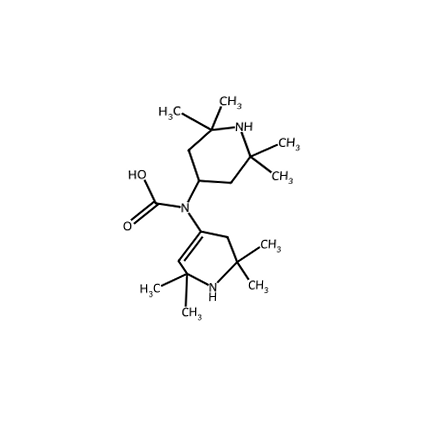 CC1(C)C=C(N(C(=O)O)C2CC(C)(C)NC(C)(C)C2)CC(C)(C)N1